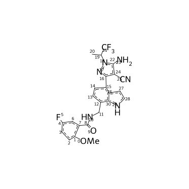 COc1ccc(F)cc1C(=O)NCc1ccc(-c2nn(C(C)C(F)(F)F)c(N)c2C#N)c2cc[nH]c12